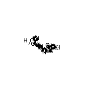 Cc1ccncc1C(=O)N1CC2(C1)CN(c1cncc(N3C(=O)c4ccc(Cl)cc4C34CC4)c1)C2